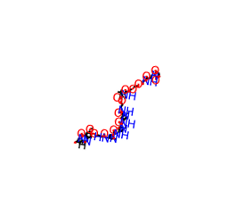 C=C1C[C@H]2C=Nc3cc(OCCCC(=O)Nc4cc(C(=O)Nc5cc(C(=O)Nc6cc(C(=O)NCCCOC(=O)[C@@H](NC(=O)CCOCCOCCNC(=O)CCN7C(=O)C=CC7=O)C(C)C)n(C)c6)n(C)c5)n(C)c4)c(OC)cc3C(=O)N2C1